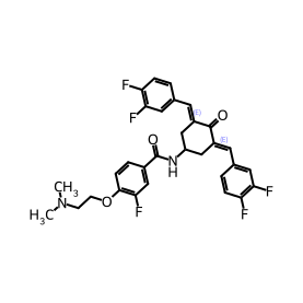 CN(C)CCOc1ccc(C(=O)NC2C/C(=C\c3ccc(F)c(F)c3)C(=O)/C(=C/c3ccc(F)c(F)c3)C2)cc1F